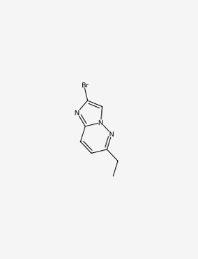 CCc1ccc2nc(Br)cn2n1